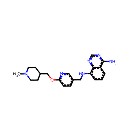 CN1CCC(COc2ccc(CNc3cccc4c(N)ncnc34)cn2)CC1